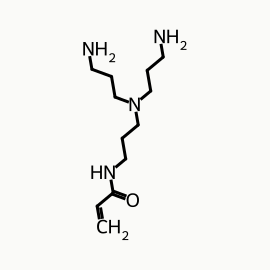 C=CC(=O)NCCCN(CCCN)CCCN